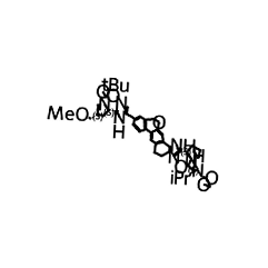 COC[C@H]1C[C@@H](c2ncc(-c3ccc4c(c3)COc3cc5c(cc3-4)CCc3nc([C@@H]4CCCN4C(=O)[C@@H](NC4OCO4)C(C)C)[nH]c3-5)[nH]2)N(C(=O)OC(C)(C)C)C1